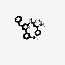 CC(/C=C(\N)C1CCCC1)Nc1cc(Cc2ccccc2)cc(-c2cccc(N)c2)n1